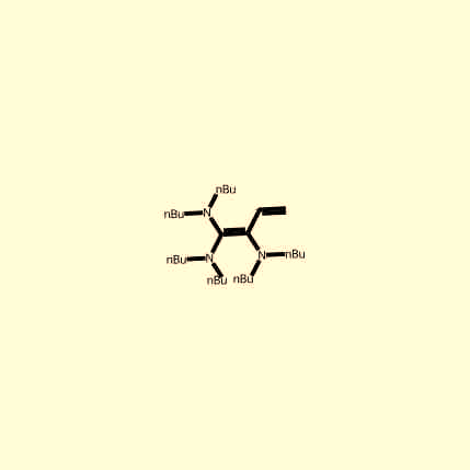 C=[C]C(=C(N(CCCC)CCCC)N(CCCC)CCCC)N(CCCC)CCCC